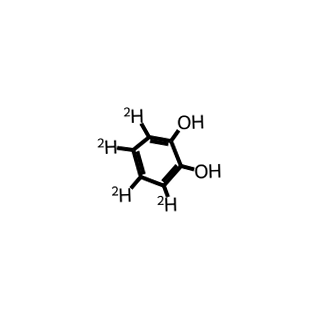 [2H]c1c([2H])c([2H])c(O)c(O)c1[2H]